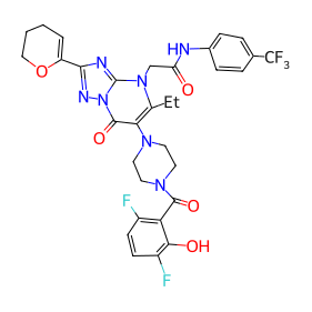 CCc1c(N2CCN(C(=O)c3c(F)ccc(F)c3O)CC2)c(=O)n2nc(C3=CCCCO3)nc2n1CC(=O)Nc1ccc(C(F)(F)F)cc1